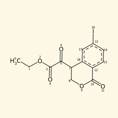 CCOC(=O)C(=O)C1COC(=O)c2ccc(I)cc21